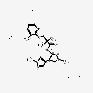 Cc1cccnc1OCC(C)(C)C(=O)NC1CN(C)CC1c1cnn(C)c1